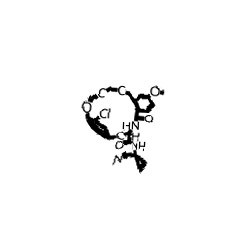 COc1ccc2c(c1)CCCCCOc1ccc(cc1Cl)C[C@@H](C(=O)NC1(C#N)CC1)NC2=O